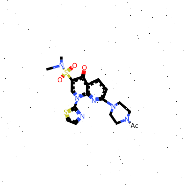 CC(=O)N1CCN(c2ccc3c(=O)c(S(=O)(=O)N(C)C)cn(-c4nccs4)c3n2)CC1